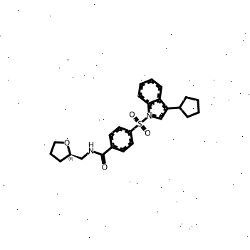 O=C(NC[C@H]1CCCO1)c1ccc(S(=O)(=O)n2cc(C3CCCC3)c3ccccc32)cc1